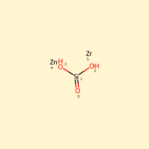 O=[Si](O)O.[Zn].[Zr]